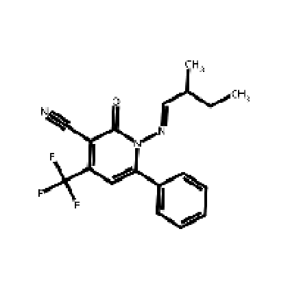 CCC(C)/C=N/n1c(-c2ccccc2)cc(C(F)(F)F)c(C#N)c1=O